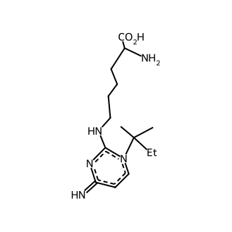 CCC(C)(C)n1ccc(=N)nc1NCCCCC(N)C(=O)O